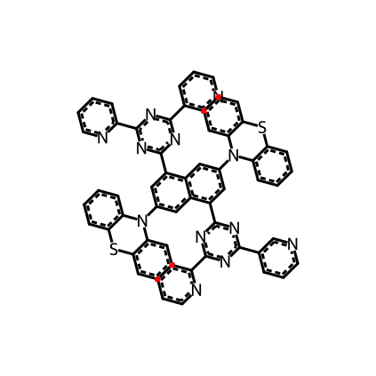 c1ccc(-c2nc(-c3cccnc3)nc(-c3cc(N4c5ccccc5Sc5ccccc54)cc4c(-c5nc(-c6cccnc6)nc(-c6ccccn6)n5)cc(N5c6ccccc6Sc6ccccc65)cc34)n2)nc1